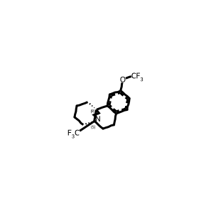 FC(F)(F)Oc1ccc2c(c1)[C@]13CCCC[C@@]1(CC2)N(C(F)(F)F)CC3